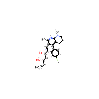 CC(=O)N1CCCc2c1nc(C(C)C)c(/C=C/[C@@H](O)C[C@@H](O)CC(=O)O)c2-c1ccc(F)cc1